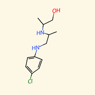 CC(CO)NC(C)CNc1ccc(Cl)cc1